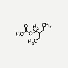 CCC(CC)[SiH2]OC(=O)O